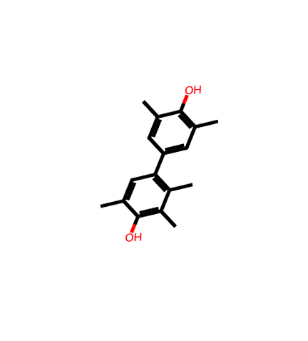 Cc1cc(-c2cc(C)c(O)c(C)c2C)cc(C)c1O